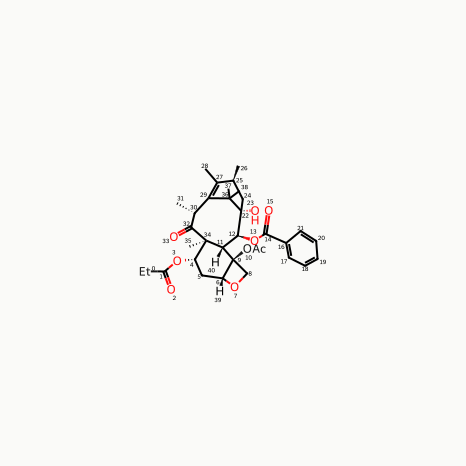 CCC(=O)O[C@H]1C[C@H]2OC[C@@]2(OC(C)=O)[C@H]2[C@H](OC(=O)c3ccccc3)[C@]3(O)C[C@H](C)C(C)=C([C@@H](C)C(=O)[C@]12C)C3(C)C